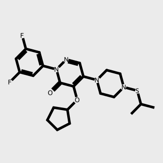 CC(C)SN1CCN(c2cnn(-c3cc(F)cc(F)c3)c(=O)c2OC2CCCC2)CC1